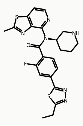 CCc1nnc(-c2ccc(C(=O)N(c3nccc4sc(C)nc34)[C@@H]3CCCNC3)c(F)c2)s1